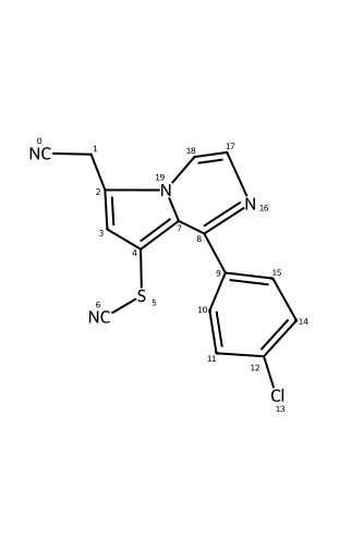 N#CCc1cc(SC#N)c2c(-c3ccc(Cl)cc3)nccn12